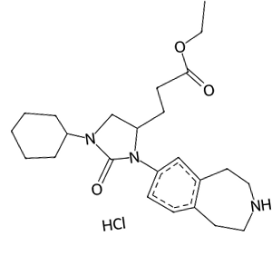 CCOC(=O)CCC1CN(C2CCCCC2)C(=O)N1c1ccc2c(c1)CCNCC2.Cl